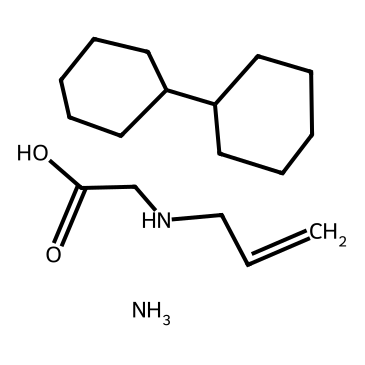 C1CCC(C2CCCCC2)CC1.C=CCNCC(=O)O.N